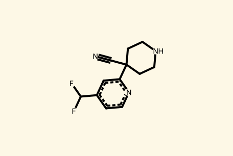 N#CC1(c2cc(C(F)F)ccn2)CCNCC1